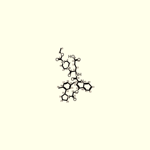 CCOC(=O)N1CCN(C(=O)C(CCC(=O)O)NC(=O)c2cc(OCC(=O)N3CCCC3c3cc(C)ccc3C)c3ccccc3n2)CC1